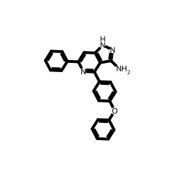 Nc1n[nH]c2cc(-c3ccccc3)nc(-c3ccc(Oc4ccccc4)cc3)c12